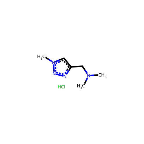 CN(C)Cc1cn(C)nn1.Cl